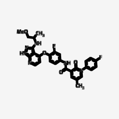 COCC(C)Nc1n[nH]c2nccc(Oc3ccc(NC(=O)c4cc(C)cn(-c5ccc(F)cc5)c4=O)cc3F)c12